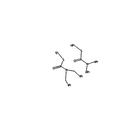 CCCSC(=O)N(CCC)CCC.CCSC(=O)N(CC(C)C)CC(C)C